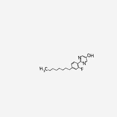 CCCCCCCCc1ccc(-c2ncc(O)cn2)c(F)c1